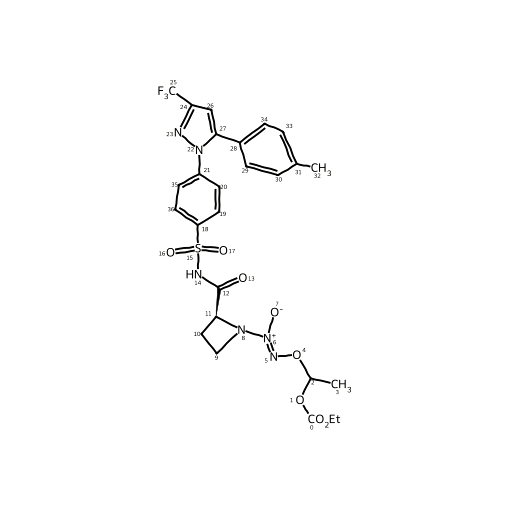 CCOC(=O)OC(C)ON=[N+]([O-])N1CC[C@H]1C(=O)NS(=O)(=O)c1ccc(-n2nc(C(F)(F)F)cc2-c2ccc(C)cc2)cc1